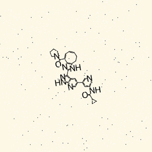 O=C(Nc1cncc(-c2cnc3[nH]nc(-c4nc5c([nH]4)CC/C=C\C=C/5C(=O)N4CCCC4)c3c2)c1)C1CC1